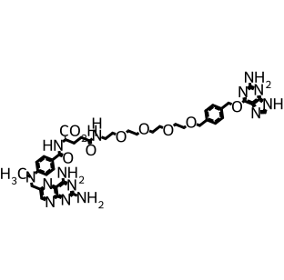 CN(Cc1cnc2nc(N)nc(N)c2n1)c1ccc(C(=O)N[C@@H](CCC(=O)NCCOCCOCCOCCOCc2ccc(COc3nc(N)nc4[nH]cnc34)cc2)C(=O)O)cc1